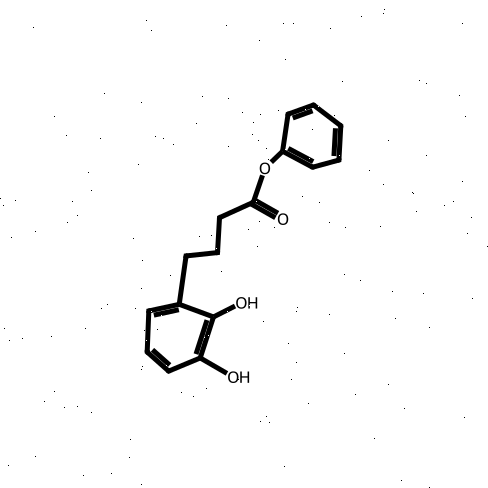 O=C(CCCc1cccc(O)c1O)Oc1ccccc1